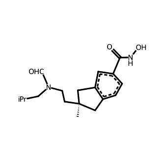 CC(C)CN(C=O)CC[C@]1(C)Cc2ccc(C(=O)NO)cc2C1